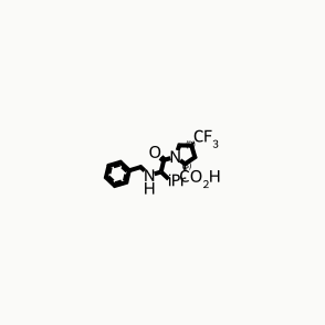 CC(C)C(NCc1ccccc1)C(=O)N1C[C@H](C(F)(F)F)C[C@H]1C(=O)O